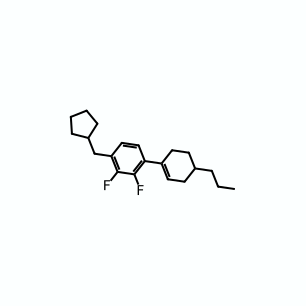 CCCC1CC=C(c2ccc(CC3CCCC3)c(F)c2F)CC1